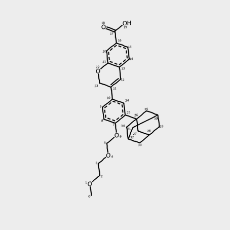 COCCOCOc1ccc(C2=Cc3ccc(C(=O)O)cc3OC2)cc1C12CC3CC(CC(C3)C1)C2